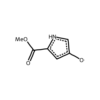 COC(=O)c1cc([O])c[nH]1